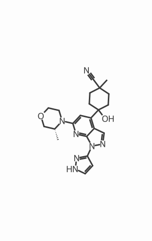 C[C@@H]1COCCN1c1cc(C2(O)CCC(C)(C#N)CC2)c2cnn(-c3cc[nH]n3)c2n1